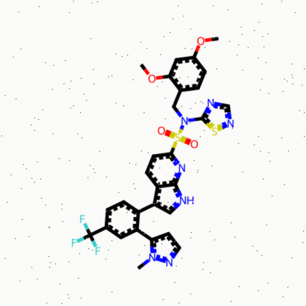 COc1ccc(CN(c2ncns2)S(=O)(=O)c2ccc3c(-c4ccc(C(F)(F)F)cc4-c4ccnn4C)c[nH]c3n2)c(OC)c1